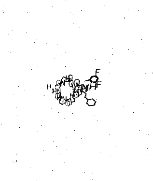 C[C@@H]1NC(=O)[C@@H]2CCCCN2C(=O)[C@@H]2CCCN2C(=O)[C@@H](NC(=O)[C@H](Cc2cc(F)cc(F)c2)NC(=O)CCC2CCCCC2)COC(=O)[C@@H]2CCCN2C1=O